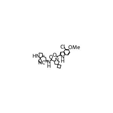 COc1ccc2[nH]c(C(=O)N3CC4(CCC4)CC3C(=O)N[C@H](C#N)C[C@@H]3CCNC3=O)cc2c1Cl